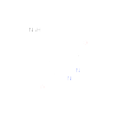 O=C1N=NC(=O)c2ccccc21.[NaH]